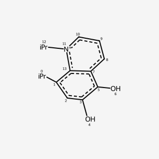 CC(C)c1cc(O)c(O)c2ccc[n+](C(C)C)c12